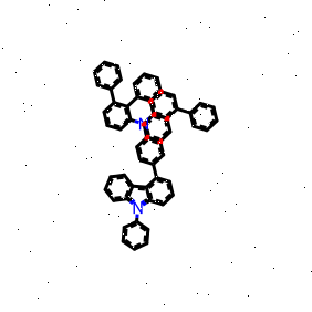 c1ccc(-c2cccc(N(c3ccc(-c4cccc5c4c4ccccc4n5-c4ccccc4)cc3)c3cccc(-c4ccccc4)c3-c3ccccc3-c3ccccc3)c2)cc1